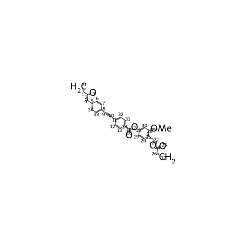 C=CC(=O)Cc1ccc(C#Cc2ccc(C(=O)Oc3ccc(COC(=O)C=C)c(OC)c3)cc2)cc1